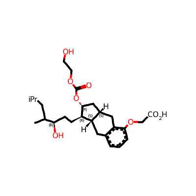 CC(C)CC(C)[C@H](O)CC[C@@H]1[C@H]2Cc3cccc(OCC(=O)O)c3C[C@H]2C[C@H]1OC(=O)OCCO